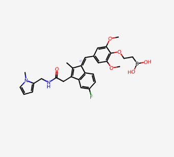 COc1cc(/C=C2/C(C)=C(CC(=O)NCc3cccn3C)c3cc(F)ccc32)cc(OC)c1OCCB(O)O